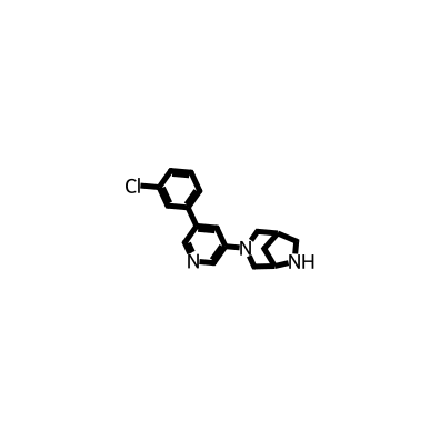 Clc1cccc(-c2cncc(N3CC4CNC(C4)C3)c2)c1